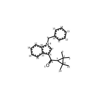 CC1(C)C(C(=O)c2cn(Cc3ccccc3)c3ccccc23)C1(C)C